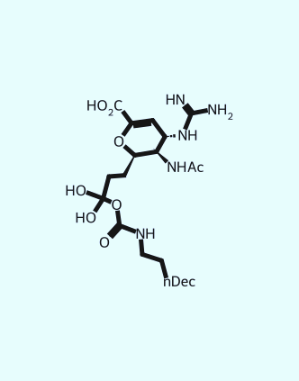 CCCCCCCCCCCCNC(=O)OC(O)(O)CC[C@H]1OC(C(=O)O)=C[C@H](NC(=N)N)[C@H]1NC(C)=O